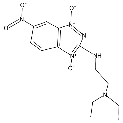 CCN(CC)CCNc1n[n+]([O-])c2cc([N+](=O)[O-])ccc2[n+]1[O-]